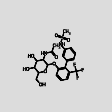 CC(=O)NC1C(Oc2cccc(C(F)(F)F)c2-c2cccc(NS(C)(=O)=O)c2)OC(CO)C(O)C1O